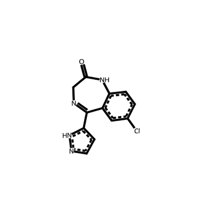 O=C1CN=C(c2ccn[nH]2)c2cc(Cl)ccc2N1